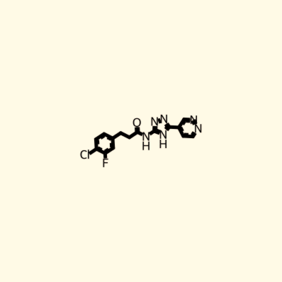 O=C(CCc1ccc(Cl)c(F)c1)Nc1nnc(-c2ccnnc2)[nH]1